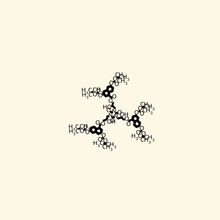 CC(C)(C)OC(=O)Oc1ccc2c(C(=O)OCC(O)Cn3c(=O)n(CC(O)COC(=O)c4cc(OC(=O)OC(C)(C)C)cc5cc(OC(=O)OC(C)(C)C)ccc45)c(=O)n(CC(O)COC(=O)c4cc(OC(=O)OC(C)(C)C)cc5cc(OC(=O)OC(C)(C)C)ccc45)c3=O)cc(OC(=O)OC(C)(C)C)cc2c1